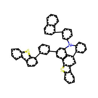 c1cc(-c2cccc(N(c3cccc(-c4cccc5ccccc45)c3)c3ccccc3-c3ccc4sc5ccccc5c4c3)c2)cc(-c2cccc3c2sc2ccccc23)c1